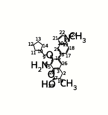 CC(Cc1cc(N)c(OCC2CCCC2)c(-c2ccc3c(ccn3C)c2)c1)C(=O)O